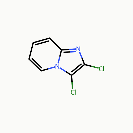 Clc1nc2ccccn2c1Cl